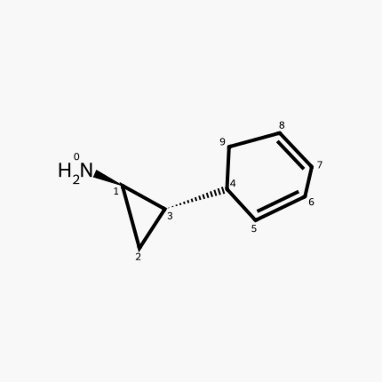 N[C@@H]1C[C@H]1C1C=CC=CC1